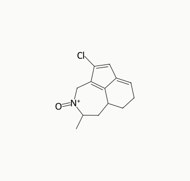 CC1CC2CCC=C3C=C(Cl)C(=C32)C[N+]1=O